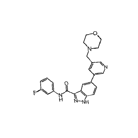 O=C(Nc1cccc(F)c1)c1n[nH]c2ccc(-c3cncc(CN4CCOCC4)c3)cc12